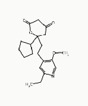 CCc1cc(CCC2(C3CCCC3)CC(=O)CC(=O)O2)c(OC)cn1